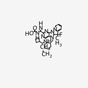 C=C[C@H]1CC[C@H](Cn2c(C(C)(F)c3ccccn3)nc3nc(C(=N)NC(=O)O)nc(N[C@H](C)C4CCC4)c32)CC1